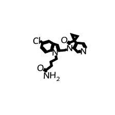 NC(=O)CCCn1c(CN2C(=O)C3(CC3)c3ccncc32)cc2cc(Cl)ccc21